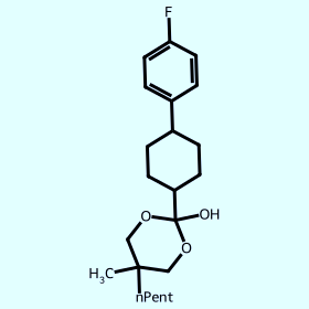 CCCCCC1(C)COC(O)(C2CCC(c3ccc(F)cc3)CC2)OC1